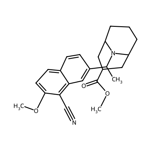 COC(=O)C1CC2CCCC(C1)N2C(C)c1ccc2ccc(OC)c(C#N)c2c1